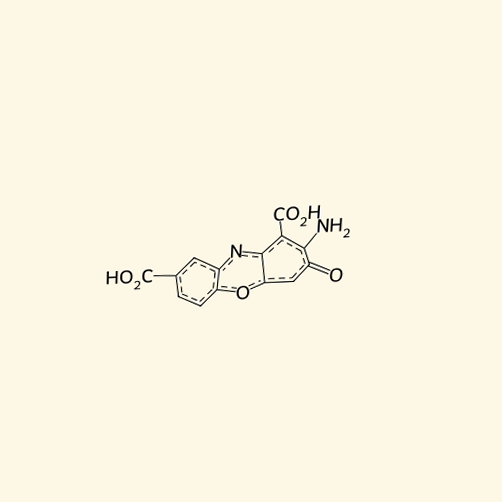 Nc1c(C(=O)O)c2nc3cc(C(=O)O)ccc3oc-2cc1=O